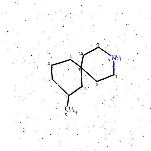 CC1CCCC2(CCNCC2)C1